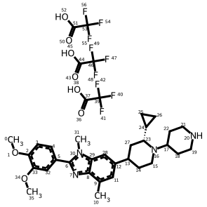 COc1ccc(-c2nc3c(C)cc(C4CCN(C5CCNCC5)[C@@H](C5CC5)C4)cc3n2C)cc1OC.O=C(O)C(F)(F)F.O=C(O)C(F)(F)F.O=C(O)C(F)(F)F